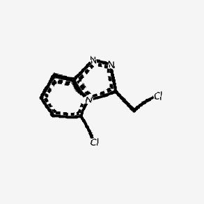 ClCc1nnc2cccc(Cl)n12